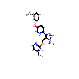 Cn1nnc(-c2ccc(O[C@H]3CCC[C@H](C(=O)O)C3)cn2)c1COc1nccc(C(F)(F)F)n1